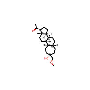 COC[C@]1(O)CC[C@H]2CC[C@@H]3[C@H](CC[C@]4(C)[C@@H](C(C)=O)CC[C@@H]34)[C@H]2CC1